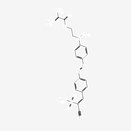 C=C(C)C(=O)OCCN(C)c1ccc(/N=N/c2ccc(C=C(C#N)S(C)(=O)=O)cc2)cc1